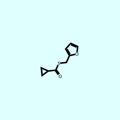 O=C(SCc1ccco1)C1CC1